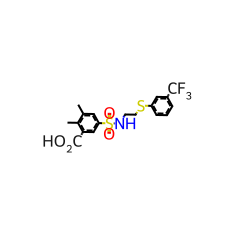 Cc1cc(S(=O)(=O)NCCSc2cccc(C(F)(F)F)c2)cc(C(=O)O)c1C